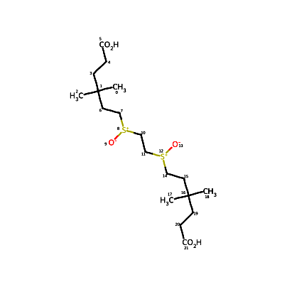 CC(C)(CCC(=O)O)CC[S+]([O-])CC[S+]([O-])CCC(C)(C)CCC(=O)O